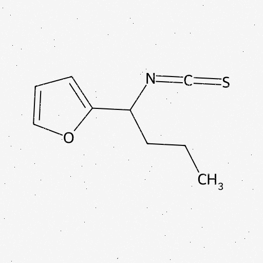 CCCC(N=C=S)c1ccco1